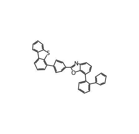 c1ccc(-c2ccccc2-c2cccc3nc(-c4ccc(-c5cccc6c5sc5ccccc56)cc4)oc23)cc1